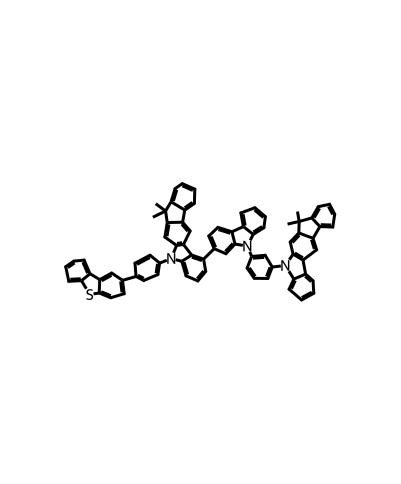 CC1(C)c2ccccc2-c2cc3c4ccccc4n(-c4cccc(-n5c6ccccc6c6ccc(-c7cccc8c7c7cc9c(cc7n8-c7ccc(-c8ccc%10sc%11ccccc%11c%10c8)cc7)C(C)(C)c7ccccc7-9)cc65)c4)c3cc21